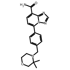 CC1(C)COCCN1Cc1ccc(-c2ccc(C(N)=O)c3n[c]nn23)cc1